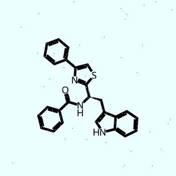 O=C(N[C@H](Cc1c[nH]c2ccccc12)c1nc(-c2ccccc2)cs1)c1ccccc1